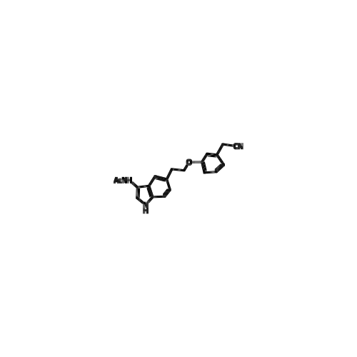 CC(=O)Nc1c[nH]c2ccc(CCOc3cccc(CC#N)c3)cc12